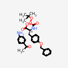 CC(=O)c1ccc(N)cc1.CC(C)(C)OOC(=O)N[C@@H](Cc1ccc(OCc2ccccc2)cc1)C(=O)O